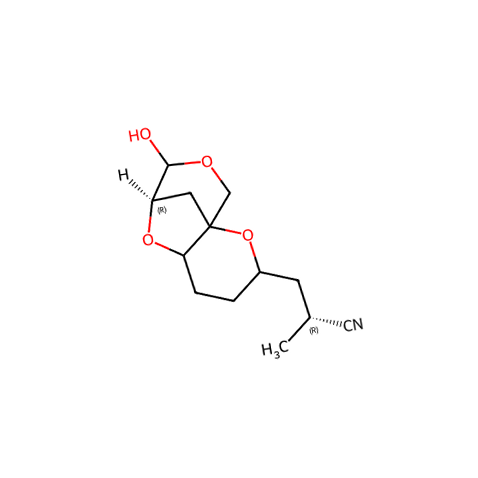 C[C@@H](C#N)CC1CCC2O[C@@H]3CC2(COC3O)O1